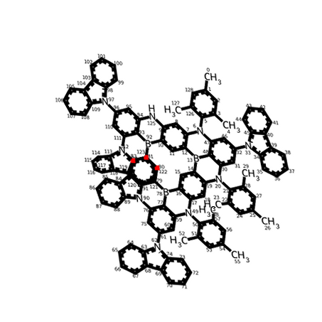 Cc1cc(C)c(N2c3cc4c(cc3B3c5cc6c(cc5N(c5c(C)cc(C)cc5C)c5cc(-n7c8ccccc8c8ccccc87)cc2c53)N(c2c(C)cc(C)cc2C)c2cc(-n3c5ccccc5c5ccccc53)cc3c2B6c2cccc5c6ccccc6n-3c25)B2c3c(cc(-n5c6ccccc6c6ccccc65)cc3-n3c5ccccc5c5cccc2c53)N4)c(C)c1